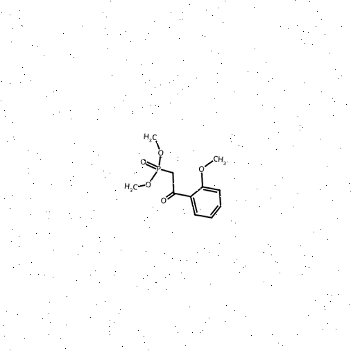 COc1ccccc1C(=O)CP(=O)(OC)OC